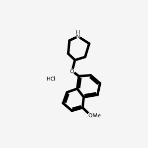 COc1cccc2c(OC3CCNCC3)cccc12.Cl